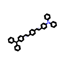 C(=C\c1ccc(C(c2ccccc2)c2ccccc2)cc1)/c1ccc(/C=C/c2ccc(N(c3ccccc3)c3ccccc3)cc2)cc1